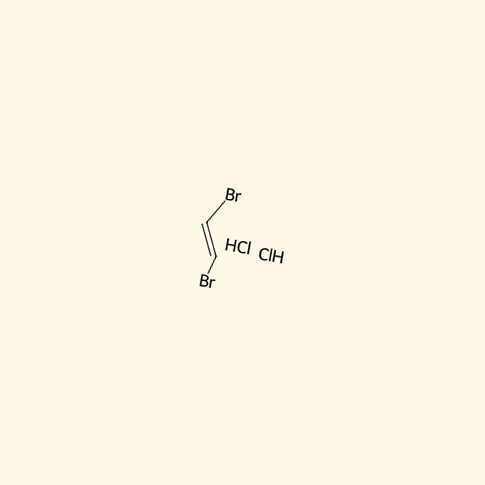 BrC=CBr.Cl.Cl